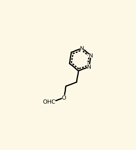 O=COCCc1ccnnn1